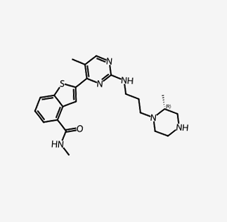 CNC(=O)c1cccc2sc(-c3nc(NCCCN4CCNC[C@H]4C)ncc3C)cc12